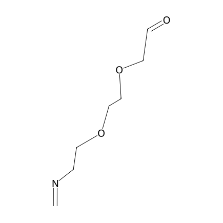 C=NCCOCCOCC=O